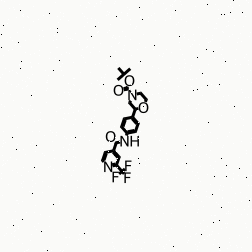 CC(C)(C)OC(=O)N1CCOC(c2ccc(NC(=O)c3ccnc(C(F)(F)F)c3)cc2)C1